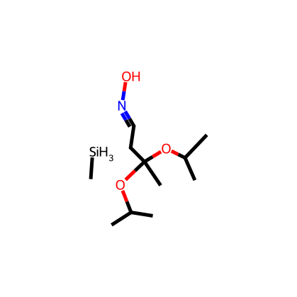 CC(C)OC(C)(CC=NO)OC(C)C.C[SiH3]